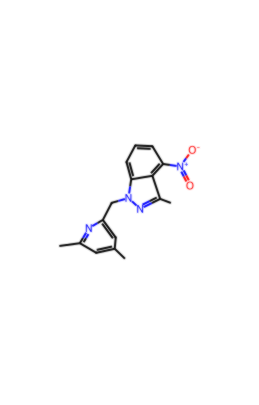 Cc1cc(C)nc(Cn2nc(C)c3c([N+](=O)[O-])cccc32)c1